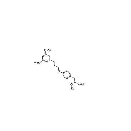 CCOC(Cc1ccc(OCC=Cc2cc(OC)cc(OC)c2)cc1)C(=O)O